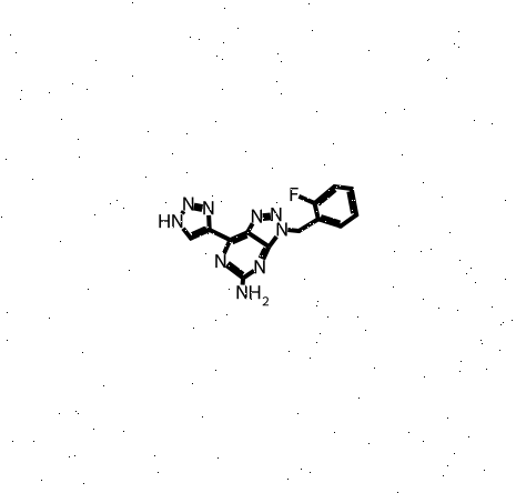 Nc1nc(-c2c[nH]nn2)c2nnn(Cc3ccccc3F)c2n1